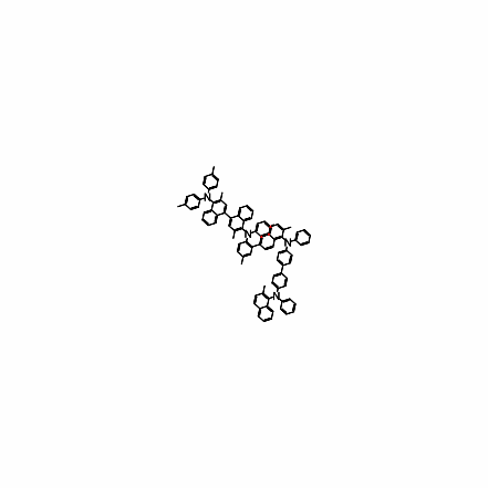 Cc1ccc(N(c2ccc(C)cc2)c2c(C)cc(-c3cc(C)c(N(c4ccc(C)cc4)c4ccc(C)cc4-c4ccc5c(N(c6ccccc6)c6ccc(-c7ccc(N(c8ccccc8)c8c(C)ccc9ccccc89)cc7)cc6)c(C)ccc5c4)c4ccccc34)c3ccccc23)cc1